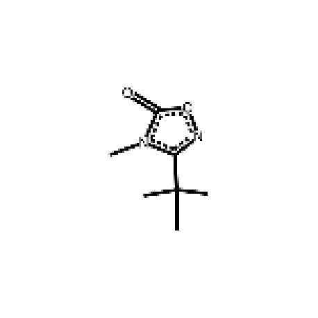 Cn1c(C(C)(C)C)noc1=O